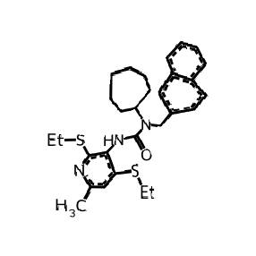 CCSc1cc(C)nc(SCC)c1NC(=O)N(Cc1ccc2ccccc2c1)C1CCCCCC1